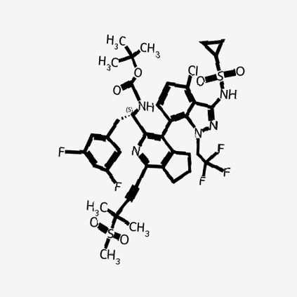 CC(C)(C)OC(=O)N[C@@H](Cc1cc(F)cc(F)c1)c1nc(C#CC(C)(C)S(C)(=O)=O)c2c(c1-c1ccc(Cl)c3c(NS(=O)(=O)C4CC4)nn(CC(F)(F)F)c13)CCC2